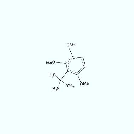 COc1ccc(OC)c(C(C)(C)N)c1OC